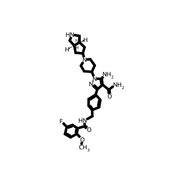 COc1ccc(F)cc1C(=O)NCc1ccc(-c2nn(C3CCN(C4C[C@H]5CNC[C@H]5C4)CC3)c(N)c2C(N)=O)cc1